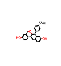 CSc1ccc(-c2c3c(cc4ccc(O)cc24)-c2ccc(O)cc2CO3)cc1